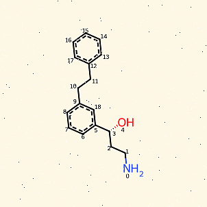 NCC[C@@H](O)c1cccc(CCc2ccccc2)c1